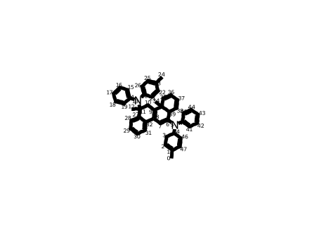 CC1=CCC(N(C2=CC3=C(CC(C)(N(c4ccccc4)c4ccc(C)cc4)c4ccccc43)C3(C)C=CC=CC23)c2ccccc2)C=C1